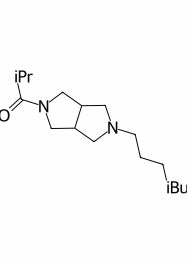 CCC(C)CCCN1CC2CN(C(=O)C(C)C)CC2C1